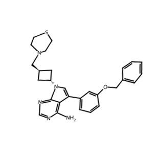 Nc1ncnc2c1c(-c1cccc(OCc3ccccc3)c1)cn2[C@H]1C[C@H](CN2CCSCC2)C1